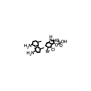 Cc1ccc(N)cc1.Cc1ccc(N)cc1.O=P(O)(O)Oc1c[nH]c2ccc(Br)c(Cl)c12